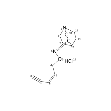 C#C/C=C\CON=C1CN2CCC1CC2.Cl